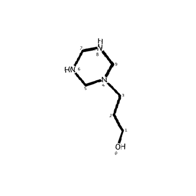 OCCCN1CNCNC1